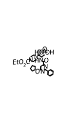 CCOC(=O)N1CCN(C(=O)C(CP(=O)(O)O)NC(=O)c2cc(OC3CCCC3)nc(-c3ccccc3)n2)CC1